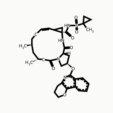 C[C@H]1CC/C=C\C2C[C@@]2(C(=O)NS(=O)(=O)C2(C)CC2)NC(=O)[C@@H]2C[C@@H](Oc3nc4c(c5ccccc35)OCCC4)CN2C(=O)C[C@H](C)C1